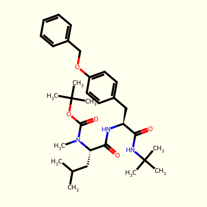 CC(C)C[C@@H](C(=O)N[C@@H](Cc1ccc(OCc2ccccc2)cc1)C(=O)NC(C)(C)C)N(C)C(=O)OC(C)(C)C